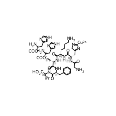 CC(C)[C@H](NC(=O)[C@H](Cc1ccccc1)NC(=O)[C@@H](NC(=O)[C@H](CCCCN)NC(=O)[C@H](CC1=NC=NC1)NC(=O)CN)C(C)C)C(=O)O.N[C@@H](Cc1c[nH]cn1)C(=O)[O-].N[C@@H](Cc1c[nH]cn1)C(=O)[O-].[Cu+2]